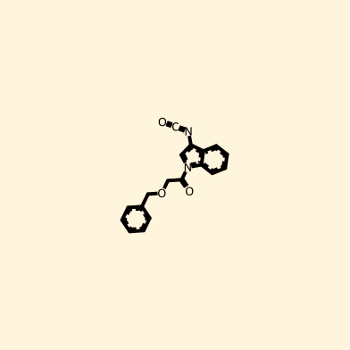 O=C=Nc1cn(C(=O)COCc2ccccc2)c2ccccc12